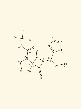 CC1N([C@@H](CO)c2nnco2)C(=O)[C@]12CCCN2C(=O)OC(C)(C)C